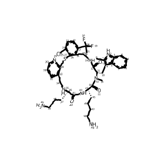 Cc1[nH]c2ccccc2c1C[C@H]1C(=O)NCc2c(C(F)(F)F)ccc(Cl)c2Sc2ncccc2CN[C@@H](CCCN)C(=O)N[C@@H](CCCCN)C(=O)N1C